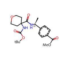 COC(=O)c1ccc([C@H](C)NC(=O)C2(NC(=O)OC(C)(C)C)CCOCC2)cc1